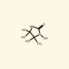 CC1(O)N(O)C(=O)NC1(O)O